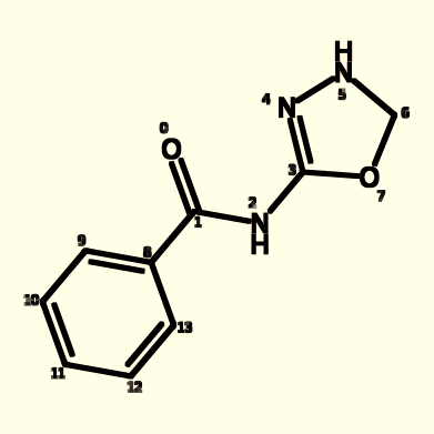 O=C(NC1=NNCO1)c1ccccc1